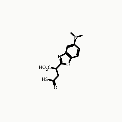 CN(C)c1ccc2oc(C(CC(=O)S)C(=O)O)nc2c1